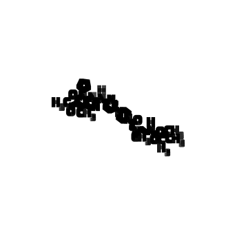 CC(=O)c1c(C)c2cnc(Nc3ccc(N4CCN(C(=O)CN(C)CCNC(=O)OC(C)(C)C)CC4)cn3)nc2n(C2CCCC2)c1=O